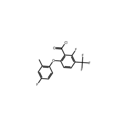 Cc1cc(F)ccc1Oc1ccc(C(F)(F)F)c(F)c1C(=O)Cl